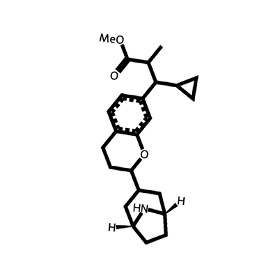 COC(=O)C(C)C(c1ccc2c(c1)OC(C1C[C@H]3CC[C@@H](C1)N3)CC2)C1CC1